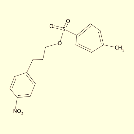 Cc1ccc(S(=O)(=O)OCCCc2ccc([N+](=O)[O-])cc2)cc1